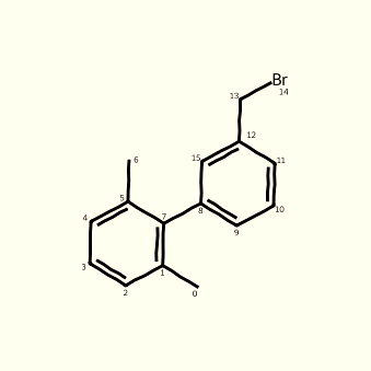 Cc1cccc(C)c1-c1cccc(CBr)c1